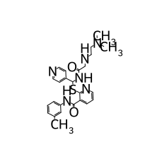 Cc1cccc(NC(=O)c2cccnc2SC(NC(=O)CNCCN(C)C)c2ccncc2)c1